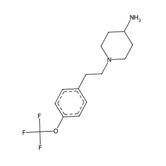 NC1CCN(CCc2ccc(OC(F)(F)F)cc2)CC1